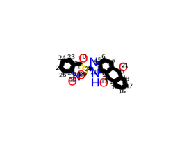 O=C(Sc1nc2ccc3c(c2[nH]1)C(=O)c1ccccc1C3=O)c1ccccc1[N+](=O)[O-]